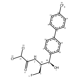 O=C(N[C@H](CF)[C@H](O)c1ccc(-c2ccc(C(F)(F)F)cc2)cc1)C(Cl)Cl